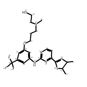 CC1N=C(c2ccnc(Nc3cc(OCCCN(C)CCO)cc(C(F)(F)F)c3)n2)SC1C